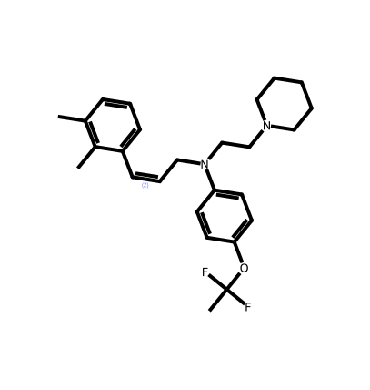 Cc1cccc(/C=C\CN(CCN2CCCCC2)c2ccc(OC(C)(F)F)cc2)c1C